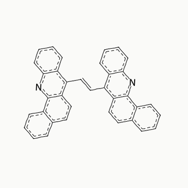 C(=Cc1c2ccccc2nc2c1ccc1ccccc12)c1c2ccccc2nc2c1ccc1ccccc12